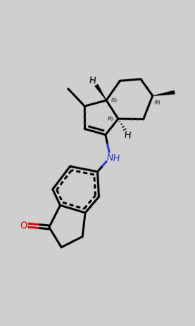 CC1C=C(Nc2ccc3c(c2)CCC3=O)[C@@H]2C[C@H](C)CC[C@@H]12